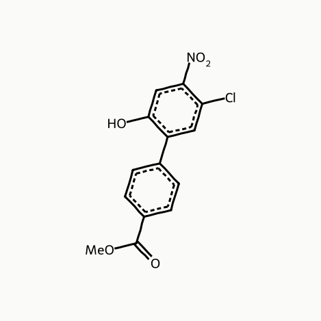 COC(=O)c1ccc(-c2cc(Cl)c([N+](=O)[O-])cc2O)cc1